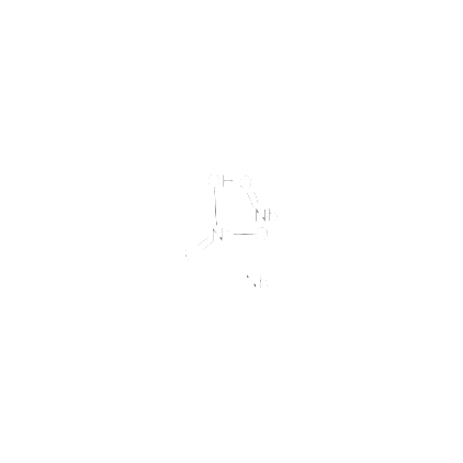 O=[N+]([O-])O.[Nb].[O]=[Nb]